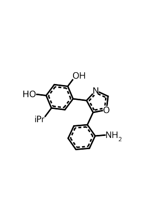 CC(C)c1cc(-c2ncoc2-c2ccccc2N)c(O)cc1O